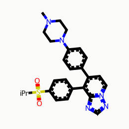 CC(C)S(=O)(=O)c1ccc(-c2c(-c3ccc(N4CCN(C)CC4)cc3)ccn3n[c]nc23)cc1